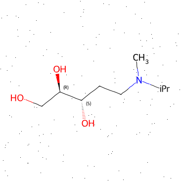 CC(C)N(C)CC[C@H](O)[C@H](O)CO